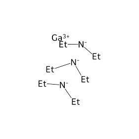 CC[N-]CC.CC[N-]CC.CC[N-]CC.[Ga+3]